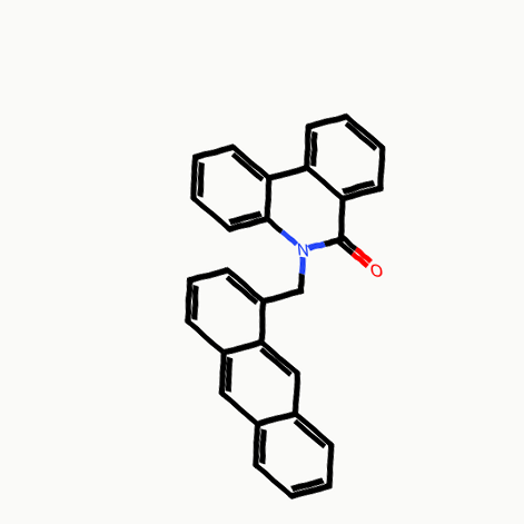 O=c1c2ccccc2c2ccccc2n1Cc1cccc2cc3ccccc3cc12